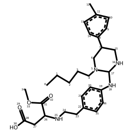 CCCCCN1CC(c2ccc(C)cc2)CNC1Nc1ccc(CCNC(CC(=O)O)C(=O)OC)cc1